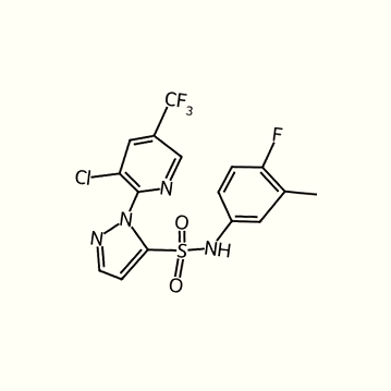 Cc1cc(NS(=O)(=O)c2ccnn2-c2ncc(C(F)(F)F)cc2Cl)ccc1F